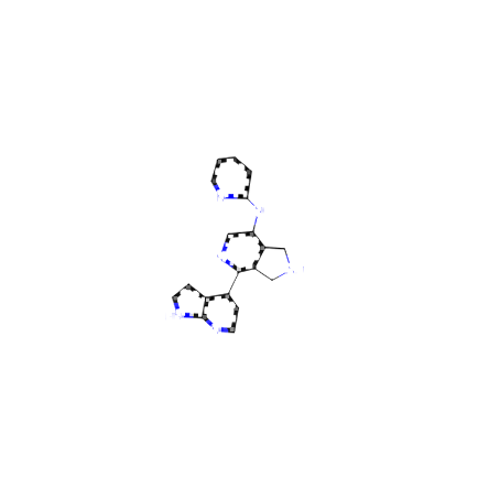 c1ccc(Nc2cnc(-c3ccnc4[nH]ccc34)c3c2CNC3)nc1